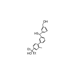 CCC(O)(CC)c1ccc(-c2cccc(C(S)c3cc[c]c(CO)c3)c2)c(C)c1